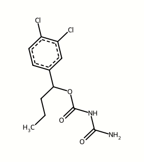 CCCC(OC(=O)NC(N)=O)c1ccc(Cl)c(Cl)c1